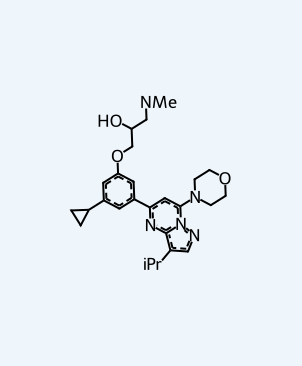 CNCC(O)COc1cc(-c2cc(N3CCOCC3)n3ncc(C(C)C)c3n2)cc(C2CC2)c1